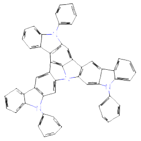 c1ccc(-n2c3ccccc3c3cc4c5cc6c(c7ccccc7n6-c6ccccc6)c6c7cc8c9ccccc9n(-c9ccccc9)c8cc7n(c4cc32)c56)cc1